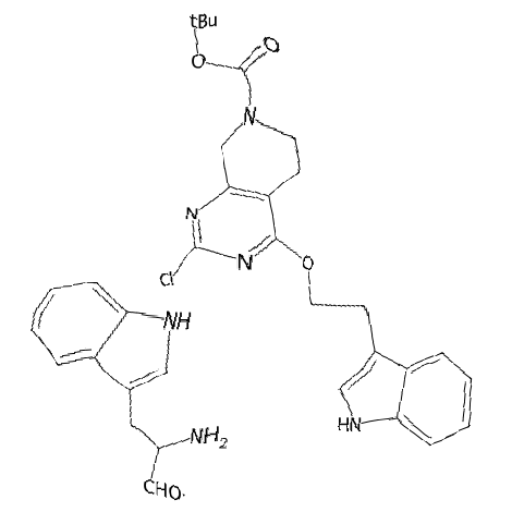 CC(C)(C)OC(=O)N1CCc2c(nc(Cl)nc2OCCc2c[nH]c3ccccc23)C1.NC([C]=O)Cc1c[nH]c2ccccc12